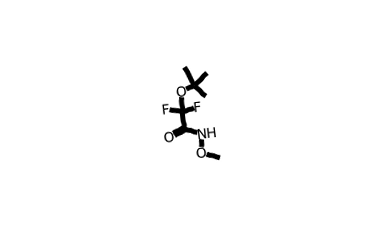 CONC(=O)C(F)(F)OC(C)(C)C